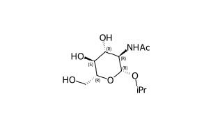 CC(=O)N[C@H]1[C@H](OC(C)C)O[C@H](CO)[C@@H](O)[C@@H]1O